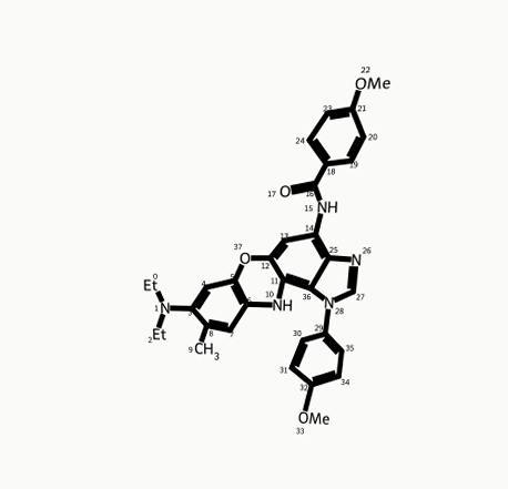 CCN(CC)c1cc2c(cc1C)Nc1c(cc(NC(=O)c3ccc(OC)cc3)c3ncn(-c4ccc(OC)cc4)c13)O2